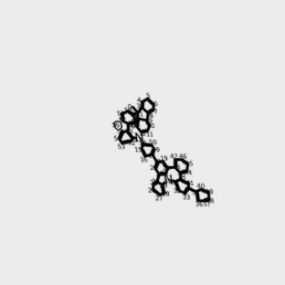 CC1(C)c2ccccc2-c2ccc(N(c3ccc(-c4cc5c6c(c4)c4ccccc4n6-c4ccc(-c6ccccc6)cc4-c4ccccc4-5)cc3)c3cccc4oc5ccccc5c34)cc21